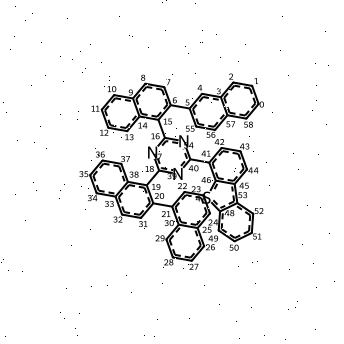 c1ccc2cc(-c3ccc4ccccc4c3-c3nc(-c4c(-c5cccc6ccccc56)ccc5ccccc45)nc(-c4cccc5c4sc4ccccc45)n3)ccc2c1